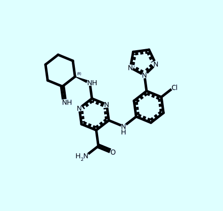 N=C1CCCC[C@H]1Nc1ncc(C(N)=O)c(Nc2ccc(Cl)c(-n3nccn3)c2)n1